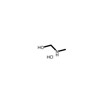 CNCO.Cl